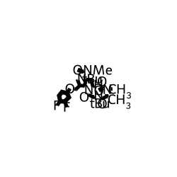 CNC(=O)N1CC(COc2ccc(F)c(F)c2)C2C1CCN2C(=O)C(NC(=O)C(C)N(C)C(=O)OC(C)(C)C)C(C)(C)C